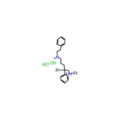 CCNCC(CCCN(C)CCc1ccccc1)(c1ccccc1)C(C)C.Cl.Cl